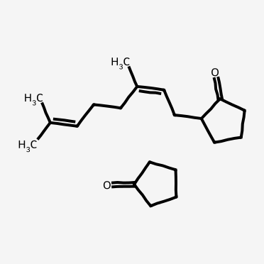 CC(C)=CCCC(C)=CCC1CCCC1=O.O=C1CCCC1